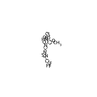 COc1ccc(C(=O)N2CCC3(CC2)CN(c2nc(-c4ccc(C(F)(F)F)cc4)cs2)C3)c(NS(=O)(=O)c2cccs2)c1